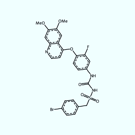 COc1cc2nccc(Oc3ccc(NC(=O)NS(=O)(=O)Cc4ccc(Br)cc4)cc3F)c2cc1OC